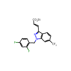 CCOC(=O)/C=C/c1nn(Cc2ccc(F)cc2F)c2cc(C(F)(F)F)ccc12